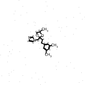 Cc1cc(C)cc(CCC2(Cn3ccnc3)OCC(C)O2)c1